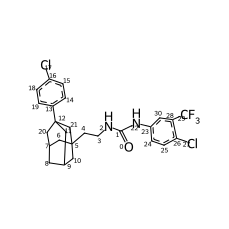 O=C(NCCC12CC3CC(C1)CC(c1ccc(Cl)cc1)(C3)C2)Nc1ccc(Cl)c(C(F)(F)F)c1